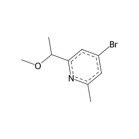 COC(C)c1cc(Br)cc(C)n1